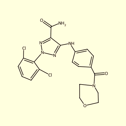 NC(=O)c1nn(-c2c(Cl)cccc2Cl)nc1Nc1ccc(C(=O)N2CCOCC2)cc1